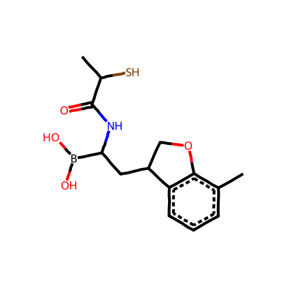 Cc1cccc2c1OCC2CC(NC(=O)C(C)S)B(O)O